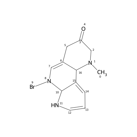 CN1CC(=O)CC2=CN(Br)C3NC=CC=C3C21